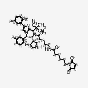 CC(C)(C)[C@H](c1nc(-c2cc(F)ccc2F)cn1Cc1cccc(F)c1)N(C[C@@H]1CNC[C@@H]1F)C(=O)CSCCNC(=O)CCCCCN1C(=O)C=CC1=O